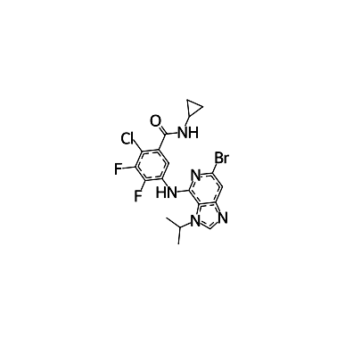 CC(C)n1cnc2cc(Br)nc(Nc3cc(C(=O)NC4CC4)c(Cl)c(F)c3F)c21